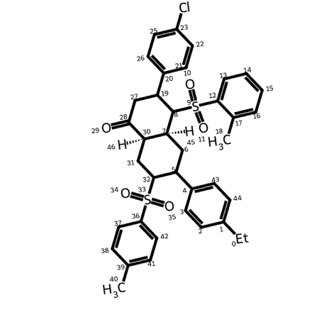 CCc1ccc(C2C[C@@H]3C(S(=O)(=O)c4ccccc4C)C(c4ccc(Cl)cc4)CC(=O)[C@@H]3CC2S(=O)(=O)c2ccc(C)cc2)cc1